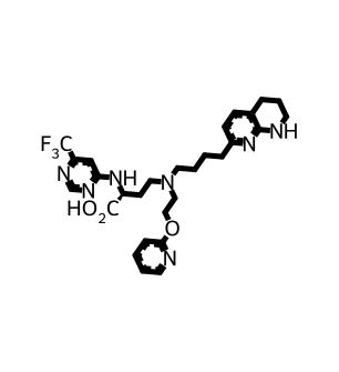 O=C(O)[C@H](CCN(CCCCc1ccc2c(n1)NCCC2)CCOc1ccccn1)Nc1cc(C(F)(F)F)ncn1